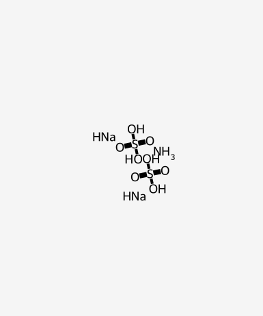 N.O=S(=O)(O)O.O=S(=O)(O)O.[NaH].[NaH]